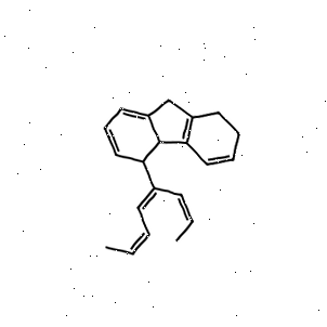 C\C=C/C=C(\C=C/C)C1C=CC=C2CC3=C(C=CCC3)C21